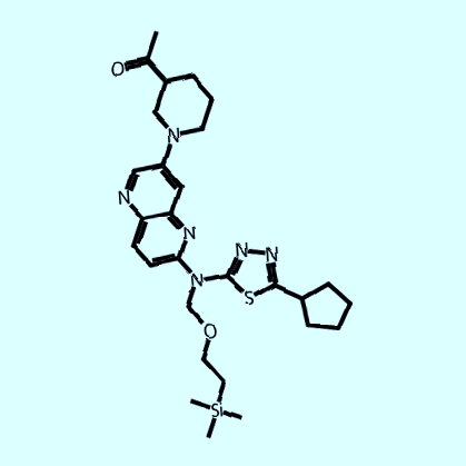 CC(=O)C1CCCN(c2cnc3ccc(N(COCC[Si](C)(C)C)c4nnc(C5CCCC5)s4)nc3c2)C1